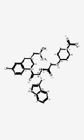 CN(C)C[C@@H]1Cc2cc(Cl)ccc2N(C(=O)[C@@H](Cc2c[nH]c3ccccc23)NC(=O)COC2CCN(C(=O)C(F)(F)F)CC2)C1